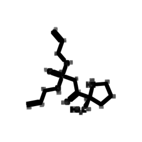 C=CCOP(=O)(CC(=O)[C@@]1(C(=O)O)CCCN1)OCC=C